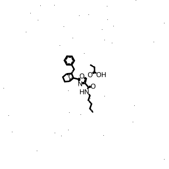 CCC(=O)O.CCCCCNC(=O)c1coc(C2C3CCC(O3)C2Cc2ccccc2)n1